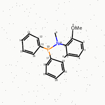 COc1cccc(C)c1N(C)P(c1ccccc1)c1ccccc1